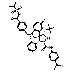 CC(C)S(=O)(=O)NC(=O)c1ccc(CN2C[C@]3(c4cc(Cl)ccc42)[C@H](CC(C)(C)C)N[C@@H](C(=O)Nc2ccc(C(=O)O)cc2)[C@@H]3c2ccccc2Cl)cc1